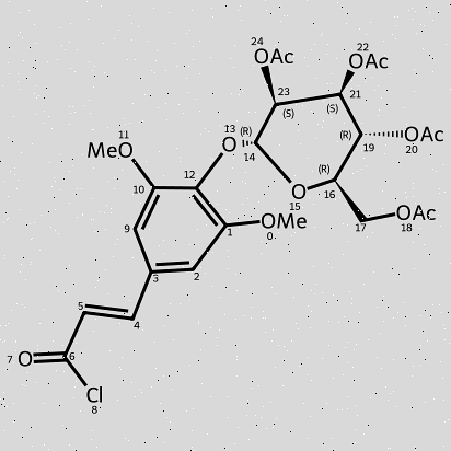 COc1cc(C=CC(=O)Cl)cc(OC)c1O[C@H]1O[C@H](COC(C)=O)[C@@H](OC(C)=O)[C@H](OC(C)=O)[C@@H]1OC(C)=O